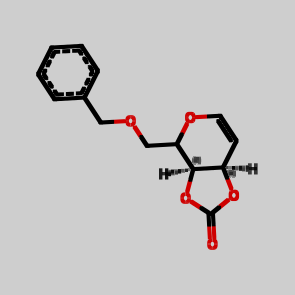 O=C1O[C@@H]2C=COC(COCc3ccccc3)[C@@H]2O1